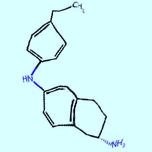 CCc1ccc(Nc2ccc3c(c2)CC[C@H](N)C3)cc1